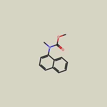 [CH2]OC(=O)N(C)c1cccc2ccccc12